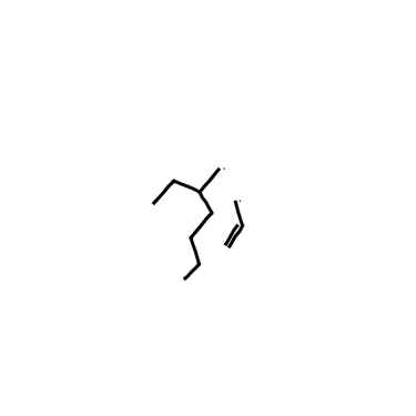 [CH2]C(CC)CCCC.[CH2]C=C